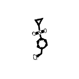 O=S(=O)(c1ccc(CCl)cc1)C1CC1